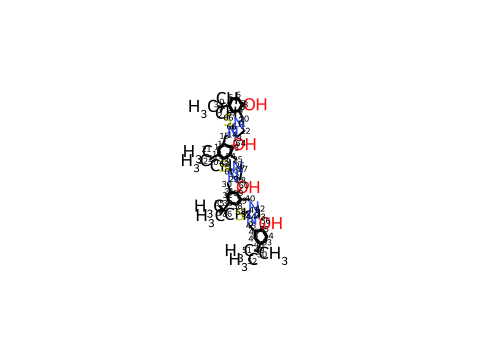 CC(C)(C)c1ccc(O)c(CN2CCN(Cc3cc(C(C)(C)C)cc(CN4CCN(Cc5cc(C(C)(C)C)cc(CN6CCN(Cc7cc(C(C)(C)C)ccc7O)C6=S)c5O)C4=S)c3O)C2=S)c1